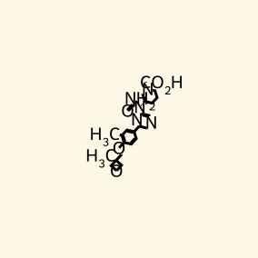 Cc1cc(-c2cncc(N(C(N)=O)[C@H]3CCCN(C(=O)O)C3)n2)ccc1OCC1(C)COC1